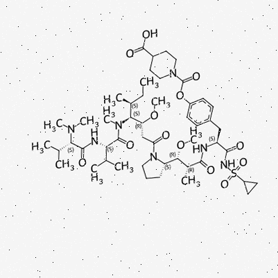 CC[C@H](C)[C@@H]([C@@H](CC(=O)N1CCC[C@H]1[C@H](OC)[C@@H](C)C(=O)N[C@@H](Cc1ccc(OC(=O)N2CCC(C(=O)O)CC2)cc1)C(=O)NS(=O)(=O)C1CC1)OC)N(C)C(=O)[C@@H](NC(=O)[C@H](C(C)C)N(C)C)C(C)C